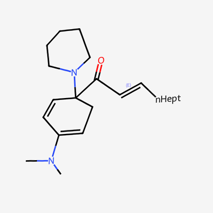 CCCCCCC/C=C/C(=O)C1(N2CCCCC2)C=CC(N(C)C)=CC1